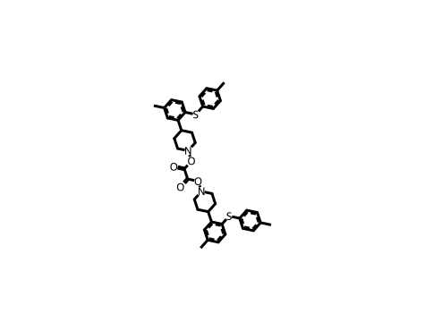 Cc1ccc(Sc2ccc(C)cc2C2CCN(OC(=O)C(=O)ON3CCC(c4cc(C)ccc4Sc4ccc(C)cc4)CC3)CC2)cc1